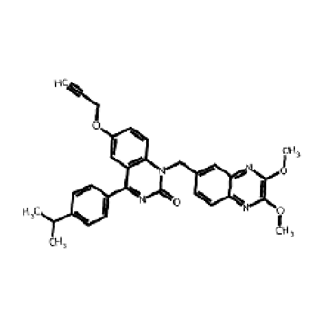 C#CCOc1ccc2c(c1)c(-c1ccc(C(C)C)cc1)nc(=O)n2Cc1ccc2nc(OC)c(OC)nc2c1